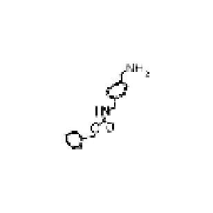 NCc1ccc(CNC(=O)OCc2ccccc2)cc1